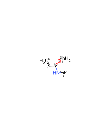 C=CC(=O)NC(C)C.[PbH2]